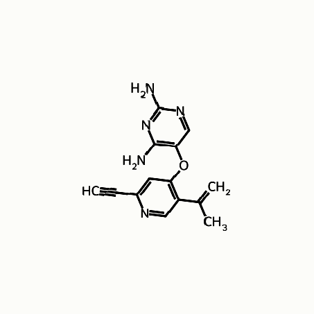 C#Cc1cc(Oc2cnc(N)nc2N)c(C(=C)C)cn1